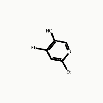 CCc1cc(CC)c(C#N)cn1